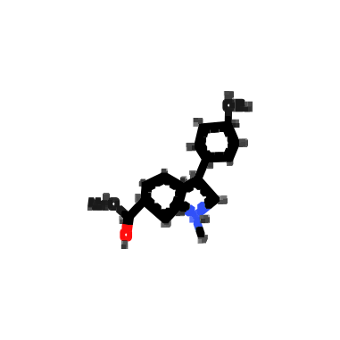 COC(=O)c1ccc2c(-c3ccc(OCC(C)C)cc3)cn(C)c2c1